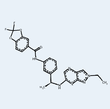 CCn1cc2ncc(N[C@@H](C)c3cccc(NC(=O)c4ccc5c(c4)OC(F)(F)O5)c3)nc2n1